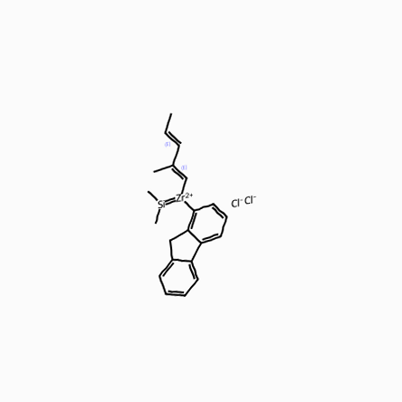 C/C=C/C(C)=[CH]/[Zr+2]([c]1cccc2c1Cc1ccccc1-2)=[Si](C)C.[Cl-].[Cl-]